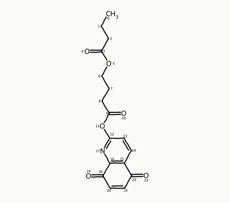 CCCC(=O)OCCCC(=O)Oc1ccc2c(n1)C(=O)C=CC2=O